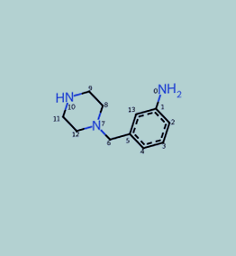 Nc1cccc(CN2CCNCC2)c1